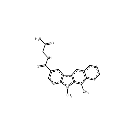 Cc1c2ccncc2cc2c3cc(C(=O)NCC(N)=O)ccc3n(C)c12